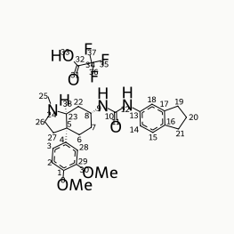 COc1ccc([C@@]23CC[C@@H](NC(=O)Nc4ccc5c(c4)CCC5)C[C@@H]2N(C)CC3)cc1OC.O=C(O)C(F)(F)F